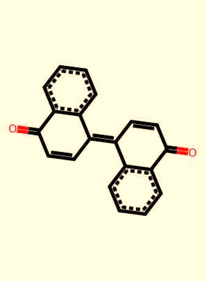 O=C1C=CC(=C2C=CC(=O)c3ccccc32)c2ccccc21